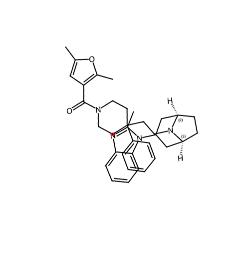 Cc1cc(C(=O)N2CCC(CCN3[C@@H]4CC[C@H]3CC(n3c(C)nc5ccccc53)C4)(c3ccccc3)CC2)c(C)o1